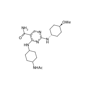 CO[C@H]1CC[C@H](Nc2ncc(C(N)=O)c(NC3CCC(NC(C)=O)CC3)n2)CC1